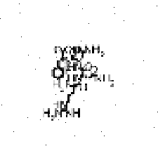 N=C(N)NCCC[C@H](N)C(=O)N[C@@H](CC(N)=O)C(=O)N[C@@H](CC(N)=O)C(=O)N[C@@H](Cc1ccccc1)C(=O)O